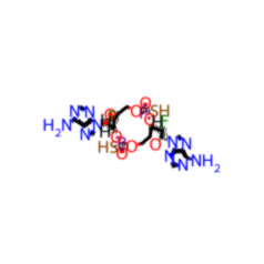 Nc1ncnc2c1ncn2[C@@H]1OC2CO[P@@](=O)(S)O[C@H]3[C@H](n4cnc5c(N)ncnc54)OC(CO[P@@](=O)(S)O[C@H]2[C@H]1F)[C@@H]3F